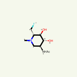 CC(=O)N[C@H]1CN(C)[C@H](CF)[C@@H](O)[C@@H]1O